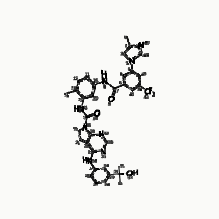 Cc1cn(-c2cc(C(=O)Nc3ccc(C)c(NC(=O)n4ccc5c(Nc6cccc(C(C)(C)O)c6)ncnc54)c3)cc(C(F)(F)F)c2)cn1